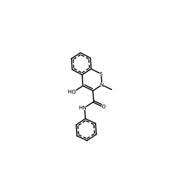 CN1Sc2ccccc2C(O)=C1C(=O)Nc1ccccc1